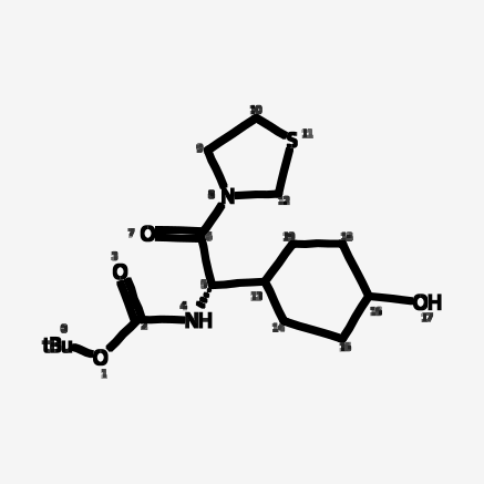 CC(C)(C)OC(=O)N[C@H](C(=O)N1CCSC1)C1CCC(O)CC1